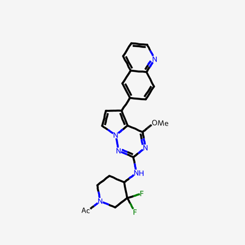 COc1nc(NC2CCN(C(C)=O)CC2(F)F)nn2ccc(-c3ccc4ncccc4c3)c12